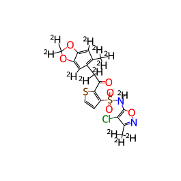 [2H]c1c2c(c([2H])c(C([2H])([2H])C(=O)c3sccc3S(=O)(=O)N([2H])c3onc(C([2H])([2H])[2H])c3Cl)c1C([2H])([2H])[2H])OC([2H])([2H])O2